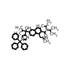 CNCc1c(C(=O)N(C(C)C)C(C)C)ccc2cc(C(O)(c3cn(C(c4ccccc4)(c4ccccc4)c4ccccc4)cn3)C(C)C)ccc12